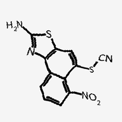 N#CSc1cc2sc(N)nc2c2cccc([N+](=O)[O-])c12